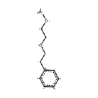 CCCOCCOCCc1cc[c]cc1